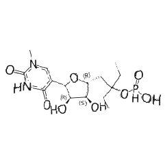 CCC(CC)(C[C@H]1OC(c2cn(C)c(=O)[nH]c2=O)[C@H](O)[C@@H]1O)O[PH](=O)O